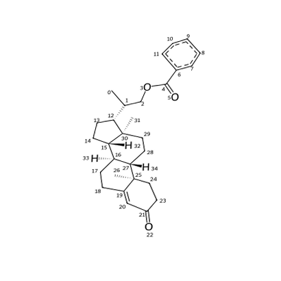 CC(COC(=O)c1ccccc1)[C@H]1CC[C@H]2[C@@H]3CCC4=CC(=O)CC[C@]4(C)[C@H]3CC[C@]12C